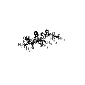 CSCC[C@H](NC(=O)[C@H](Cc1c[nH]c2ccccc12)NC(=O)[C@H](CCSC)NC(=O)[C@H](CC(C)C)NC(=O)[C@@H]1CCCN1C(=O)[C@@H]1CCCN1C(=O)CNC(=O)[C@@H](N)CCC(N)=O)C(=O)N[C@@H](CCC(N)=O)C(=O)N[C@@H](CO)C(=O)O